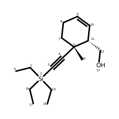 CC[Si](C#C[C@]1(C)CCC=C[C@@H]1CO)(CC)CC